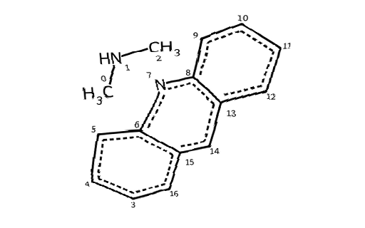 CNC.c1ccc2nc3ccccc3cc2c1